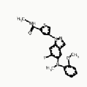 CNC(=O)c1cc(-n2ncc3cc(N(C)c4ccccc4OC)c(F)cc32)cs1